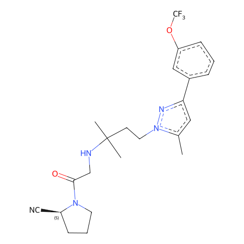 Cc1cc(-c2cccc(OC(F)(F)F)c2)nn1CCC(C)(C)NCC(=O)N1CCC[C@H]1C#N